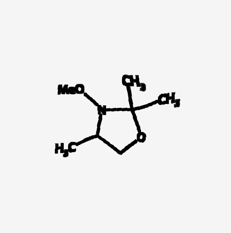 CON1C(C)COC1(C)C